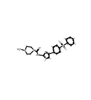 CN1CCN(C(=O)Nc2nc(-c3ccc(S(=O)(=O)c4ccccc4)cc3)cs2)CC1